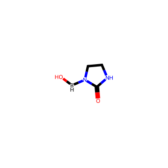 O=C1NCCN1BO